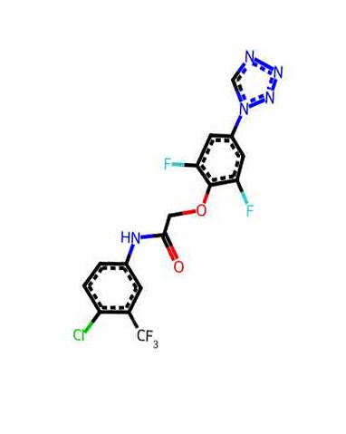 O=C(COc1c(F)cc(-n2cnnn2)cc1F)Nc1ccc(Cl)c(C(F)(F)F)c1